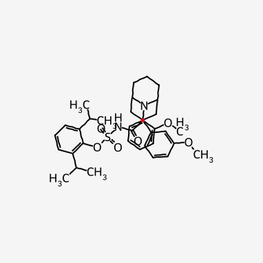 COc1cccc(C2(C(=O)NS(=O)(=O)Oc3c(C(C)C)cccc3C(C)C)CC3CCCC(C2)N3c2ccccc2OC)c1